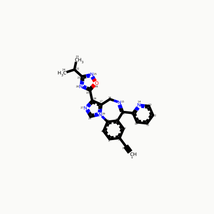 C#Cc1ccc2c(c1)C(c1ccccn1)=NCc1c(-c3nc(C(C)C)no3)ncn1-2